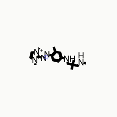 CNCC(C)(C)CNc1ccc(/N=N/c2n(C)cc[n+]2C)c(C)c1